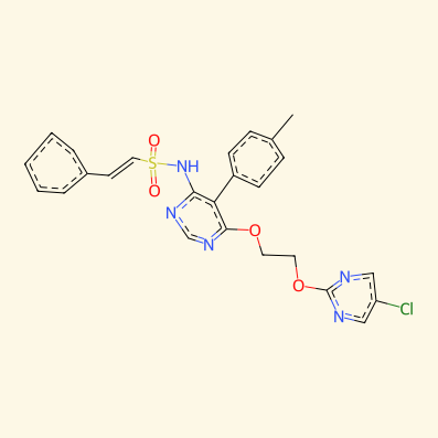 Cc1ccc(-c2c(NS(=O)(=O)C=Cc3ccccc3)ncnc2OCCOc2ncc(Cl)cn2)cc1